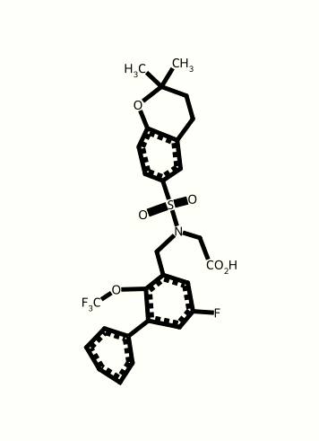 CC1(C)CCc2cc(S(=O)(=O)N(CC(=O)O)Cc3cc(F)cc(-c4ccccc4)c3OC(F)(F)F)ccc2O1